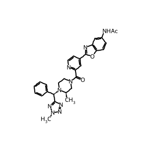 CC(=O)Nc1ccc2oc(-c3ccnc(C(=O)N4CCN([C@H](c5ccccc5)c5nnn(C)n5)[C@H](C)C4)c3)nc2c1